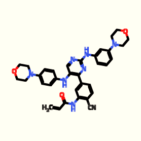 C=CC(=O)Nc1cc(-c2nc(Nc3cccc(N4CCOCC4)c3)ncc2Nc2ccc(N3CCOCC3)cc2)ccc1C#N